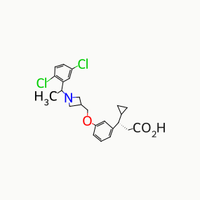 CC(c1cc(Cl)ccc1Cl)N1CC(COc2cccc([C@@H](CC(=O)O)C3CC3)c2)C1